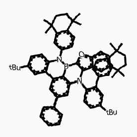 CC(C)(C)c1ccc2c(c1)-c1cc(-c3ccccc3)cc3c1B(c1oc4cc5c(cc4c1N3c1ccc(C(C)(C)C)cc1-c1ccccc1)C(C)(C)CCC5(C)C)N2c1ccc2c(c1)C(C)(C)CCC2(C)C